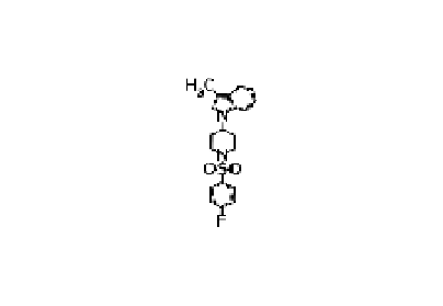 Cc1cn(C2CCN(S(=O)(=O)c3ccc(F)cc3)CC2)c2ccccc12